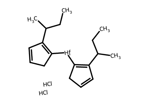 CCC(C)C1=[C]([Hf][C]2=C(C(C)CC)C=CC2)CC=C1.Cl.Cl